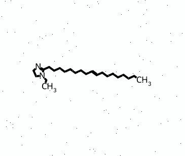 CCCCCCCCC=CCCCCCCCCC1=NCCN1CC